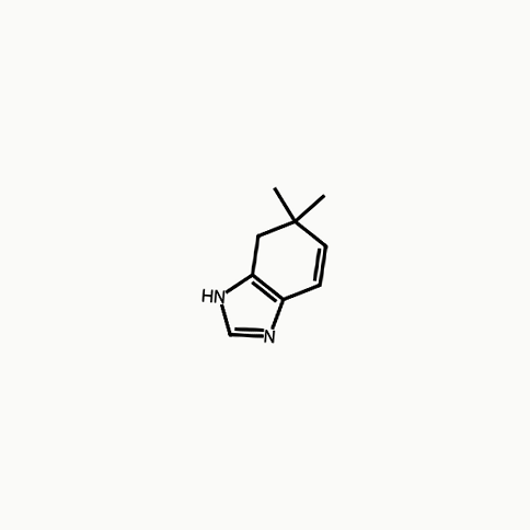 CC1(C)C=Cc2nc[nH]c2C1